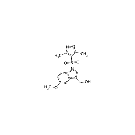 COc1ccc2c(c1)c(CO)cn2S(=O)(=O)c1c(C)noc1C